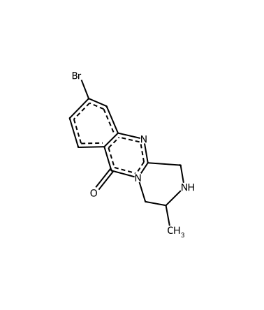 CC1Cn2c(nc3cc(Br)ccc3c2=O)CN1